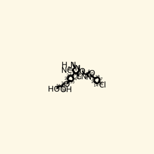 N#Cc1c(N)nc(OCc2coc(-c3ccc(Cl)cc3)n2)c(C#N)c1-c1ccc(OC[C@H](O)CO)cc1